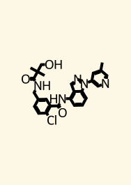 Cc1cncc(-n2ncc3c(NC(=O)c4cc(CNC(=O)C(C)(C)CO)ccc4Cl)cccc32)c1